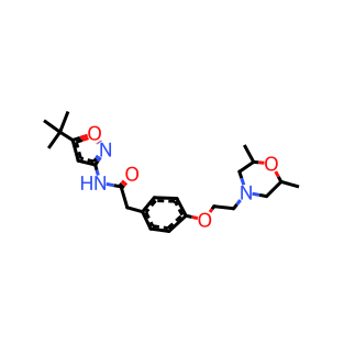 CC1CN(CCOc2ccc(CC(=O)Nc3cc(C(C)(C)C)on3)cc2)CC(C)O1